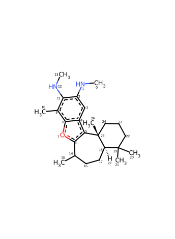 CNc1cc2c3c(oc2c(C)c1NC)C(C)CC[C@@H]1C(C)(C)CCC[C@@]31C